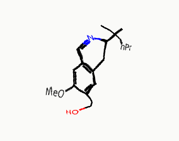 CCCC(C)(C)C1Cc2cc(CO)c(OC)cc2C=N1